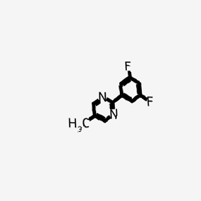 Cc1cnc(-c2cc(F)cc(F)c2)nc1